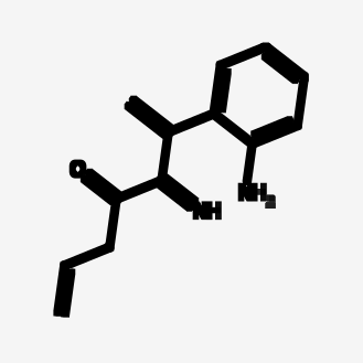 C=CCC(=O)C(=N)C(=C)c1ccccc1N